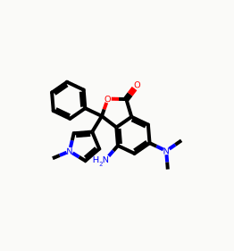 CN(C)c1cc(N)c2c(c1)C(=O)OC2(c1ccccc1)c1ccn(C)c1